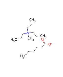 CCCCCC(=O)[O-].CCC[N+](C)(CCC)CCC